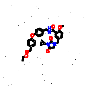 CCOOCc1ccc(Oc2ccc(CNC(=O)c3cc(CN4CC(=O)N(C5CC5)C4=O)ccc3OC)cc2)cc1